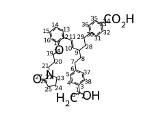 C=C(O)c1ccc(CCC(/C=C/c2ccccc2OCCCN2CCCC2=O)CCc2ccc(C(=O)O)cc2)cc1